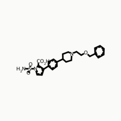 NS(=O)(=O)n1ccc(-c2ccc(C3CCN(CCOCc4ccccc4)CC3)cc2)c1C(=O)O